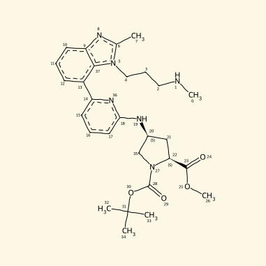 CNCCCn1c(C)nc2cccc(-c3cccc(N[C@H]4C[C@@H](C(=O)OC)N(C(=O)OC(C)(C)C)C4)n3)c21